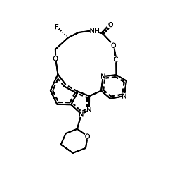 O=C1NC[C@@H](F)COc2ccc3c(c2)c(nn3C2CCCCO2)-c2cncc(n2)CO1